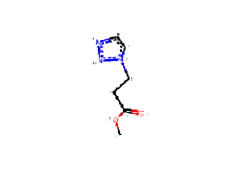 COC(=O)CCn1ccnn1